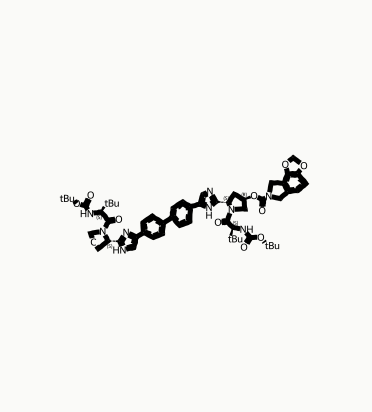 CC(C)(C)OC(=O)N[C@H](C(=O)N1CCC[C@H]1c1nc(-c2ccc(-c3ccc(-c4cnc([C@@H]5C[C@@H](OC(=O)N6Cc7ccc8c(c7C6)OCO8)CN5C(=O)[C@@H](NC(=O)OC(C)(C)C)C(C)(C)C)[nH]4)cc3)cc2)c[nH]1)C(C)(C)C